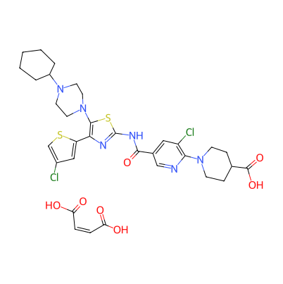 O=C(Nc1nc(-c2cc(Cl)cs2)c(N2CCN(C3CCCCC3)CC2)s1)c1cnc(N2CCC(C(=O)O)CC2)c(Cl)c1.O=C(O)/C=C\C(=O)O